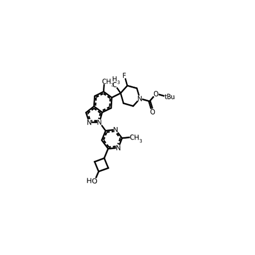 Cc1nc(C2CC(O)C2)cc(-n2ncc3cc(C)c(C4(C)CCN(C(=O)OC(C)(C)C)CC4F)cc32)n1